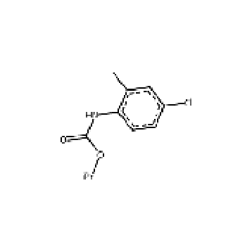 Cc1cc(Cl)ccc1NC(=O)OC(C)C